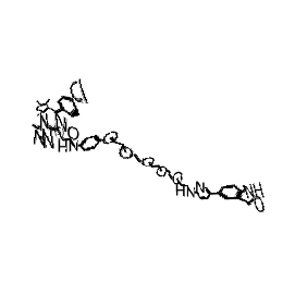 Cc1sc2c(c1C)C(c1ccc(Cl)cc1)=N[C@@H](CC(=O)Nc1ccc(OCCOCCOCCOCCOCCNc3ccc(-c4ccc5c(c4)CC(=O)N5)cn3)cc1)c1nnc(C)n1-2